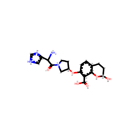 NC(C(=O)N1CC[C@@H](Oc2ccc3c(c2C(=O)O)OB(O)CC3)C1)c1c[nH]cn1